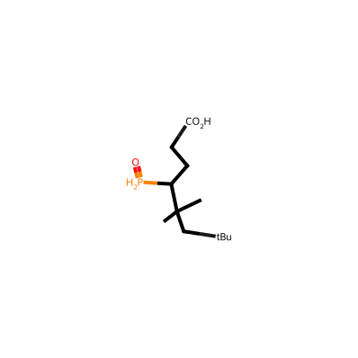 CC(C)(C)CC(C)(C)C(CCC(=O)O)[PH2]=O